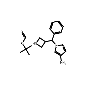 CC(C)(C)OC=O.Nc1cnn(C(c2ccccc2)C2CNC2)c1